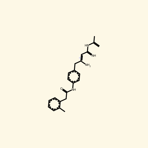 C=C(C)NC(=N)/C=C(\N)Cc1ccc(NC(=O)Cc2ccccc2C)cc1